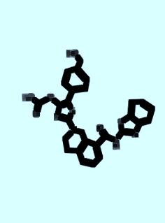 O=C(O)Oc1nc(N2CCc3cccc(C(=O)Nc4nc5ccccc5s4)c3C2)sc1-c1ccc(CO)cc1